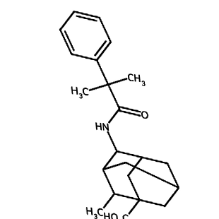 CC1C2CC3CC(CC1(C(=O)O)C3)C2NC(=O)C(C)(C)c1ccccc1